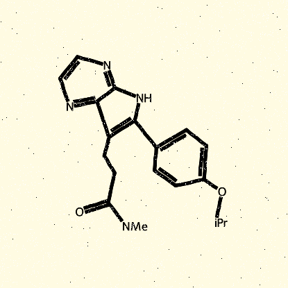 CNC(=O)CCc1c(-c2ccc(OC(C)C)cc2)[nH]c2nccnc12